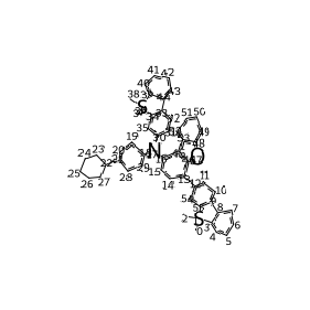 CS1(C)c2ccccc2-c2ccc(-c3ccc(N(c4ccc(C5CCCCC5)cc4)c4ccc5c(c4)S(C)(C)c4ccccc4-5)c4c3oc3ccccc34)cc21